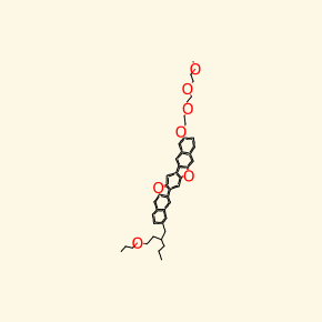 CCCOCCC(CCC)Cc1ccc2cc3oc4cc5c(cc4c3cc2c1)oc1cc2ccc(OCCOCCOCCOC)cc2cc15